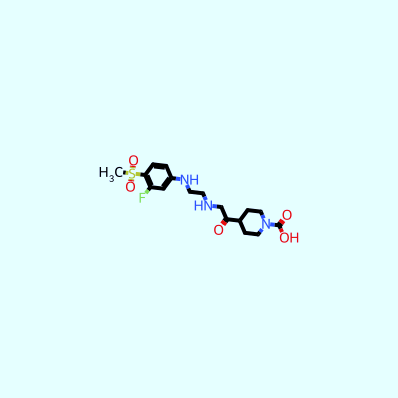 CS(=O)(=O)c1ccc(NCCNCC(=O)C2CCN(C(=O)O)CC2)cc1F